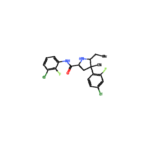 CC(C)(C)CC1NC(C(=O)Nc2cccc(Cl)c2F)CC1(C#N)c1ccc(Cl)cc1F